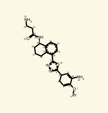 CC(C)OC1=CCC(c2nnc(-c3cccc4c3CCC[C@H]4NC(=O)CCN)s2)C=C1N